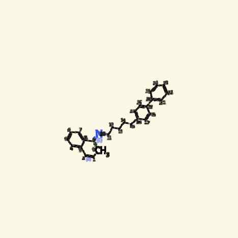 C/C=C\c1ccccc1/C=N/CCCCCc1ccc(-c2ccccc2)cc1